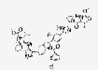 COC(=O)N[C@H](C(=O)N1CCC[C@H]1c1ncc(-c2cc(F)c3c(c2)O[C@@H](c2ccc(C4CC4)s2)n2c-3cc3cc(-c4cnc([C@@H]5CCCN5C(=O)[C@@H](NC(=O)OC)C(C)C)[nH]4)ccc32)[nH]1)C(C)C